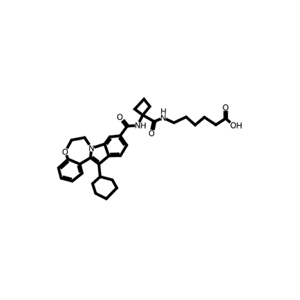 O=C(O)CCCCCNC(=O)C1(NC(=O)c2ccc3c(C4CCCCC4)c4n(c3c2)CCOc2ccccc2-4)CCC1